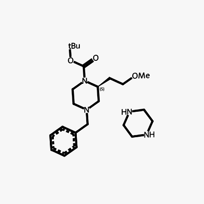 C1CNCCN1.COCC[C@H]1CN(Cc2ccccc2)CCN1C(=O)OC(C)(C)C